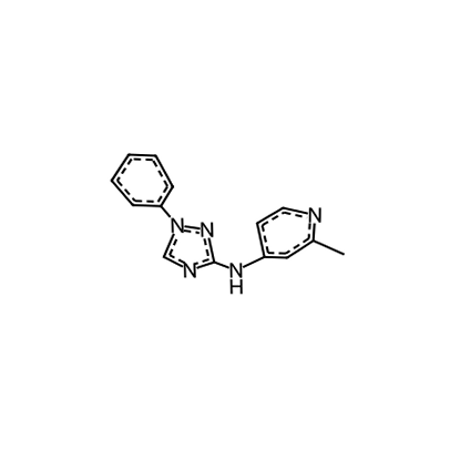 Cc1cc(Nc2ncn(-c3ccccc3)n2)ccn1